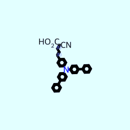 N#C/C(=C\C=C\c1ccc(N(c2ccc(-c3ccccc3)cc2)c2ccc(-c3ccccc3)cc2)cc1)C(=O)O